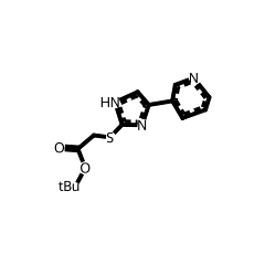 CC(C)(C)OC(=O)CSc1nc(-c2cccnc2)c[nH]1